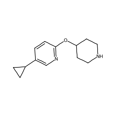 c1cc(OC2CCNCC2)ncc1C1CC1